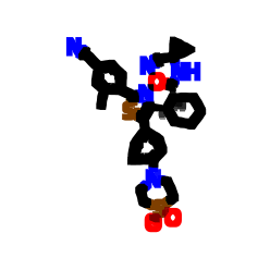 Cc1cc(C#N)ccc1-c1nc([C@@H]2CCCC[C@H]2C(=O)NC2(C#N)CC2)c(-c2ccc(N3CCS(=O)(=O)CC3)cc2)s1